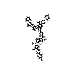 CCc1cc(Nc2cc(Nc3ccnc(-c4ccc(COc5cc(N6CCC(N7CCN(C)CC7)CC6)c(C(C)C)cc5Nc5cc(Nc6ccnc(-c7ccccc7F)c6)ncn5)cc4F)c3)ncn2)c(OC)cc1N1CCC(N2CCN(C)CC2)CC1